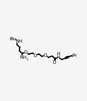 CCC(C)NCCCC(N)OCCOCCOCCC(=O)NCC#CC(C)C